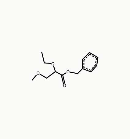 CCOC(COC)C(=O)OCc1ccccc1